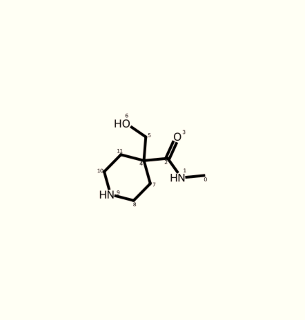 CNC(=O)C1(CO)CCNCC1